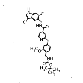 COc1cc(Cc2cc(C(=O)NCc3cc4c(Cl)c[nH]c4cc3F)ccn2)ccc1CNC(=O)OC(C)(C)C